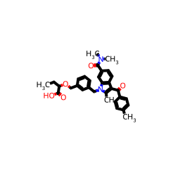 CCC(OCc1cccc(Cn2c(C)c(C(=O)c3ccc(C)cc3)c3ccc(C(=O)N(C)C)cc32)c1)C(=O)O